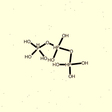 O[PH](O)(O)O[PH](O)(O)O[PH](O)(O)O